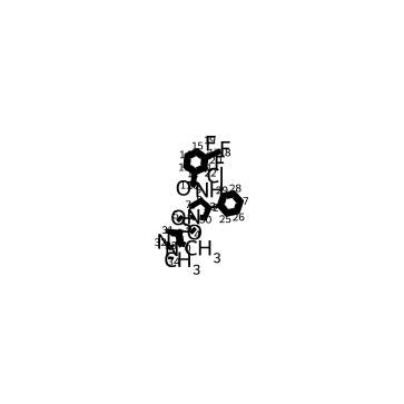 Cc1c(S(=O)(=O)N2C[C@H](NC(=O)c3cccc(C(F)(F)F)c3Cl)[C@@H](c3ccccc3)C2)cnn1C